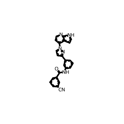 N#Cc1cccc(C(=O)Nc2cccc(-c3ccn(-c4ccnc5[nH]ccc45)n3)c2)c1